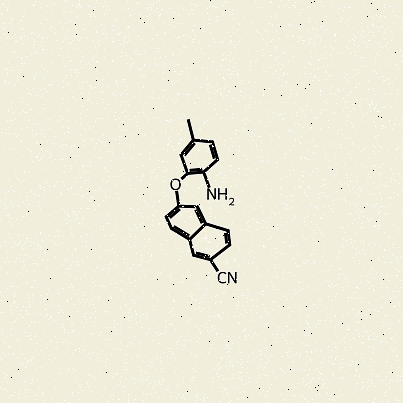 Cc1ccc(N)c(Oc2ccc3cc(C#N)ccc3c2)c1